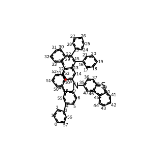 c1ccc(-c2ccc(N(c3ccc4c(c3)c(-c3ccccc3)c(-c3ccccc3)c3ccccc34)c3ccc4sc5ccccc5c4c3)c(-c3ccccc3)c2)cc1